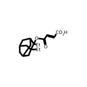 CCC12CC3CC(CC(C3)C1(CC)OC(=O)C=CC(=O)O)C2